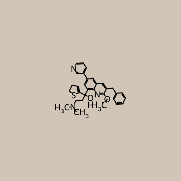 COc1nc2c(C(O)(CCN(C)C)C3=CCCS3)cc(-c3cccnc3)cc2cc1Cc1ccccc1